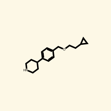 c1cc(C2CCNCC2)ccc1COCCC1CC1